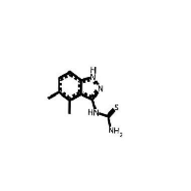 Cc1ccc2[nH]nc(NC(N)=S)c2c1C